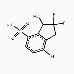 CCc1ccc(S(=O)(=O)C(F)(F)F)c2c1CC(F)(F)C2O